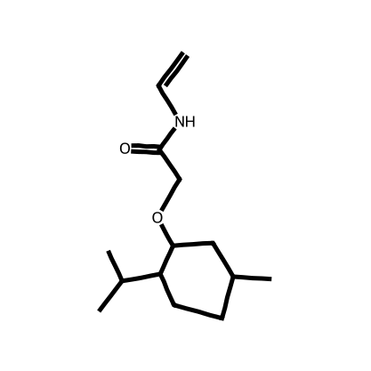 C=CNC(=O)COC1CC(C)CCC1C(C)C